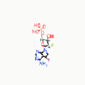 Nc1ncnc2c1c(I)cn2[C@@H]1O[C@H](COP(=O)(O)O)[C@@H](O)[C@@H]1F